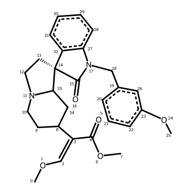 CO/C=C(/C(=O)OC)C1CCN2CC[C@]3(C(=O)N(Cc4cccc(OC)c4)c4ccccc43)C2C1